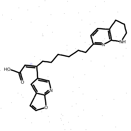 O=C(O)/C=C(/CCCCCCc1ccc2c(n1)NCCC2)c1cnc2occc2c1